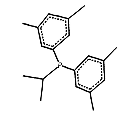 Cc1cc(C)cc(P(c2cc(C)cc(C)c2)C(C)C)c1